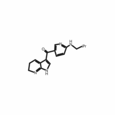 CC(C)CNc1ccc(C(=O)c2c[nH]c3c2=CCCN=3)cn1